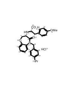 COc1ccc(C[C@H](N[C@H]2COc3ccccc3N(Cc3ccc(C(C)C)cc3)C2=O)C(=O)O)cc1.Cl